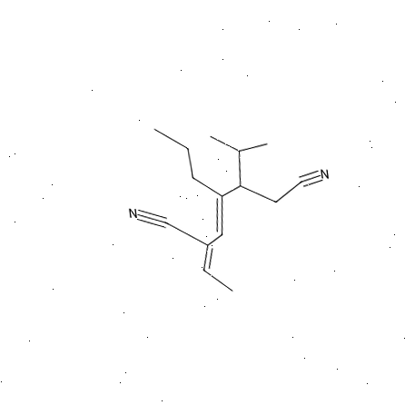 C/C=C(C#N)\C=C(/CCC)C(CC#N)C(C)C